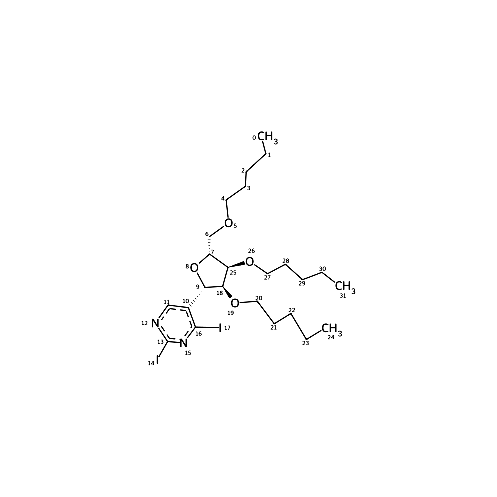 CCCCCOC[C@H]1O[C@@H](c2cnc(I)nc2I)[C@H](OCCCCC)[C@@H]1OCCCCC